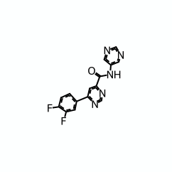 O=C(Nc1cncnc1)c1cc(-c2ccc(F)c(F)c2)ncn1